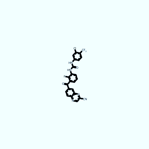 N#Cc1cnc2ccc(C(=O)c3cccc(NC(=O)Nc4ccc(C(F)(F)F)c(Cl)c4)c3F)cc2n1